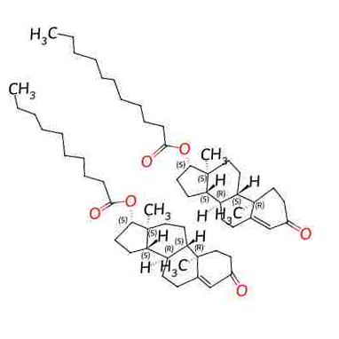 CCCCCCCCCC(=O)O[C@H]1CC[C@H]2[C@@H]3CCC4=CC(=O)CC[C@]4(C)[C@H]3CC[C@]12C.CCCCCCCCCCC(=O)O[C@H]1CC[C@H]2[C@@H]3CCC4=CC(=O)CC[C@]4(C)[C@H]3CC[C@]12C